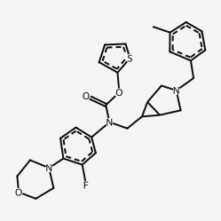 Cc1cccc(CN2CC3C(C2)C3CN(C(=O)Oc2cccs2)c2ccc(N3CCOCC3)c(F)c2)c1